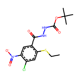 CCSc1cc(Cl)c([N+](=O)[O-])cc1C(=O)NNC(=O)OC(C)(C)C